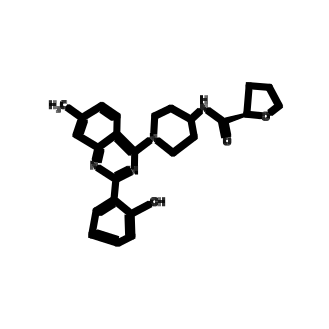 Cc1ccc2c(N3CCC(NC(=O)[C@H]4CCCO4)CC3)nc(-c3ccccc3O)nc2c1